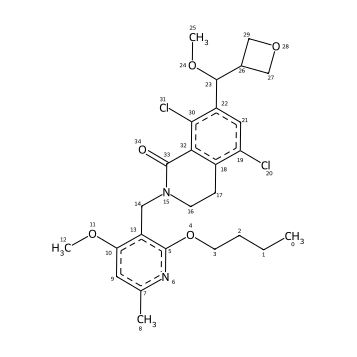 CCCCOc1nc(C)cc(OC)c1CN1CCc2c(Cl)cc(C(OC)C3COC3)c(Cl)c2C1=O